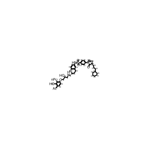 CCCc1c(OCC(O)CNC[C@H]2CCc3cc(NS(=O)(=O)c4ccc(-n5nnn(CCCC6CCCCC6)c5=O)cc4)ccc3O2)ccc(C(C)=O)c1O